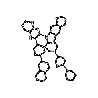 c1ccc(-c2ccc(-c3ccc4c(c3)c3cc5ccccc5cc3n4-c3nc4ncccc4nc3-c3ccc(-c4ccc5ccccc5c4)cc3)cc2)cc1